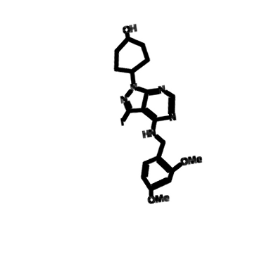 COc1ccc(CNc2ncnc3c2c(I)nn3C2CCC(O)CC2)c(OC)c1